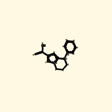 O=C(O)c1cc2n(n1)CCCN2c1ccccc1